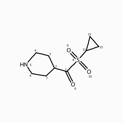 O=C(C1CCNCC1)S(=O)(=O)C1CC1